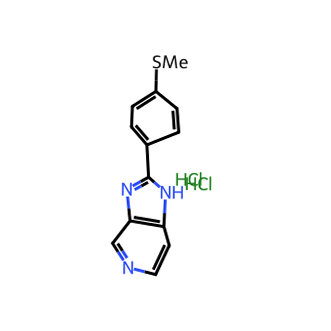 CSc1ccc(-c2nc3cnccc3[nH]2)cc1.Cl.Cl